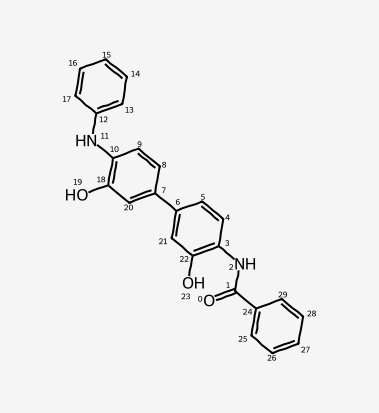 O=C(Nc1ccc(-c2ccc(Nc3ccccc3)c(O)c2)cc1O)c1ccccc1